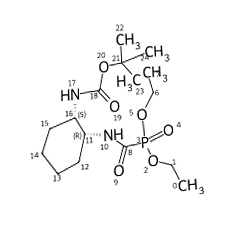 CCOP(=O)(OCC)C(=O)N[C@@H]1CCCC[C@@H]1NC(=O)OC(C)(C)C